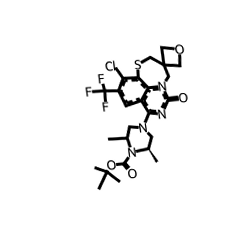 CC1CN(c2nc(=O)n3c4c(c(Cl)c(C(F)(F)F)cc24)SCC2(COC2)C3)C[C@@H](C)N1C(=O)OC(C)(C)C